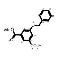 COC(=O)c1cc(OCc2ccccc2)cc(C(=O)O)c1